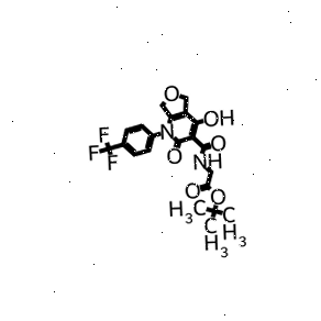 CC(C)(C)OC(=O)CNC(=O)c1c(O)c2c(n(-c3ccc(C(F)(F)F)cc3)c1=O)COC2